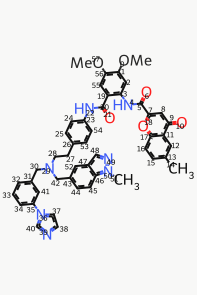 COc1cc(NC(=O)c2cc(=O)c3cc(C)ccc3o2)c(C(=O)Nc2ccc(CCN(Cc3cccc(-n4ccnc4)c3)Cc3ccc4c(cnn4C)c3)cc2)cc1OC